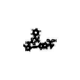 Cn1ncc(C#Cc2cc3sc(C4(C(=O)O)CC4)cc3s2)c1NC(=O)O[C@@H](c1ccccc1)C(F)(F)F